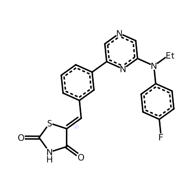 CCN(c1ccc(F)cc1)c1cncc(-c2cccc(/C=C3\SC(=O)NC3=O)c2)n1